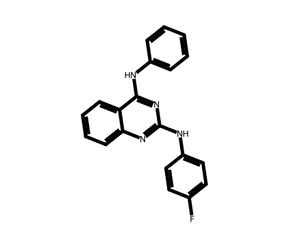 Fc1ccc(Nc2nc(Nc3ccccc3)c3ccccc3n2)cc1